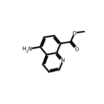 COC(=O)c1ccc(N)c2cccnc12